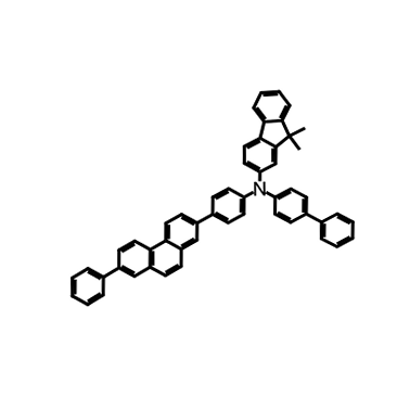 CC1(C)c2ccccc2-c2ccc(N(c3ccc(-c4ccccc4)cc3)c3ccc(-c4ccc5c(ccc6cc(-c7ccccc7)ccc65)c4)cc3)cc21